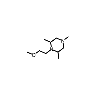 COCCN1C(C)CN(C)CC1C